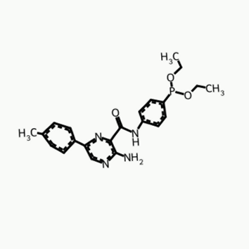 CCOP(OCC)c1ccc(NC(=O)c2nc(-c3ccc(C)cc3)cnc2N)cc1